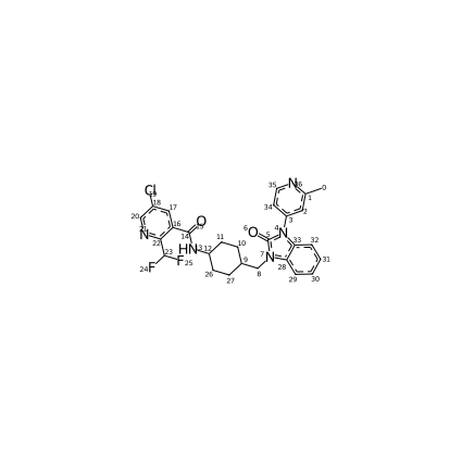 Cc1cc(-n2c(=O)n(CC3CCC(NC(=O)c4cc(Cl)cnc4C(F)F)CC3)c3ccccc32)ccn1